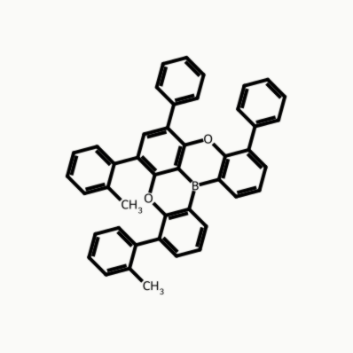 Cc1ccccc1-c1cccc2c1Oc1c(-c3ccccc3C)cc(-c3ccccc3)c3c1B2c1cccc(-c2ccccc2)c1O3